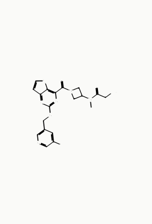 CN(C(=O)CC(C)(C)C)C1CN(C(=O)c2nc(NCc3cncc(F)c3)nc3ccsc23)C1